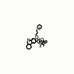 COc1cc2c3c(cnc2cc1OCCCN1CCCC1)CCCC3.O=C(O)C(F)(F)F